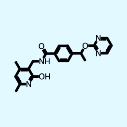 Cc1cc(C)c(CNC(=O)c2ccc(C(C)Oc3ncccn3)cc2)c(O)n1